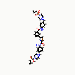 CCCS(=O)(=O)N1CCN(Cc2ccc(NC(=O)c3cccc(-c4csc(C(=O)Nc5ccc(CN6CCN(S(=O)(=O)CCC)CC6)cc5)n4)c3)cc2)CC1